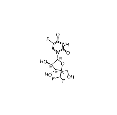 O=c1[nH]c(=O)n([C@@H]2O[C@@](CO)(C(F)F)[C@H](O)[C@H]2O)cc1F